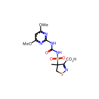 COc1cc(OC)nc(NC(=O)NS(=O)(=O)C2(C)CSN=C2C(=O)O)n1